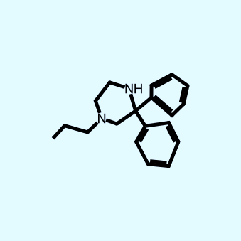 CCCN1CCNC(c2ccccc2)(c2ccccc2)C1